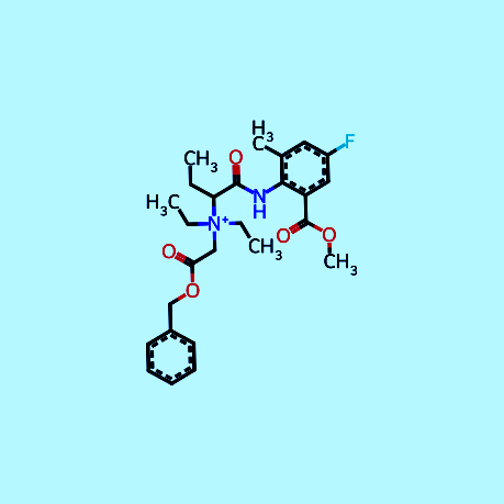 CCC(C(=O)Nc1c(C)cc(F)cc1C(=O)OC)[N+](CC)(CC)CC(=O)OCc1ccccc1